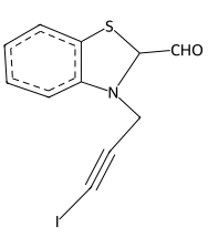 O=CC1Sc2ccccc2N1CC#CI